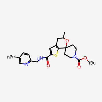 CCCc1ccc(CNC(=O)c2cc3c(s2)C2(CCN(C(=O)OC(C)(C)C)CC2)OC(C)C3)nc1